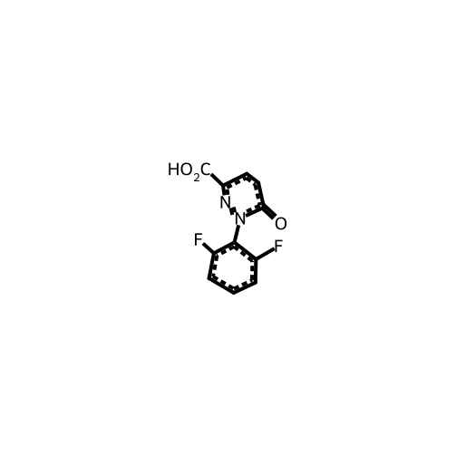 O=C(O)c1ccc(=O)n(-c2c(F)cccc2F)n1